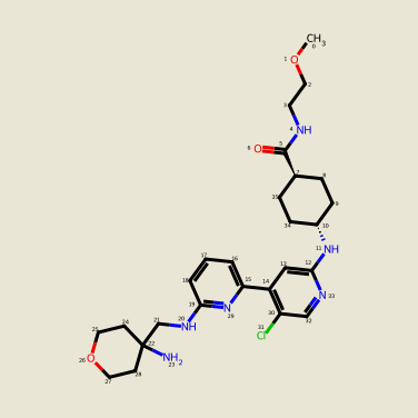 COCCNC(=O)[C@H]1CC[C@H](Nc2cc(-c3cccc(NCC4(N)CCOCC4)n3)c(Cl)cn2)CC1